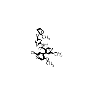 COc1cnc(Cl)cc1-c1cc(C)ncc1C(=O)Nc1nnc(O[C@H]2CCO[C@H]2C)s1